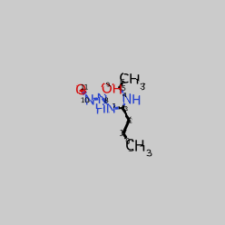 CCCC(NCC)NN(O)N=O